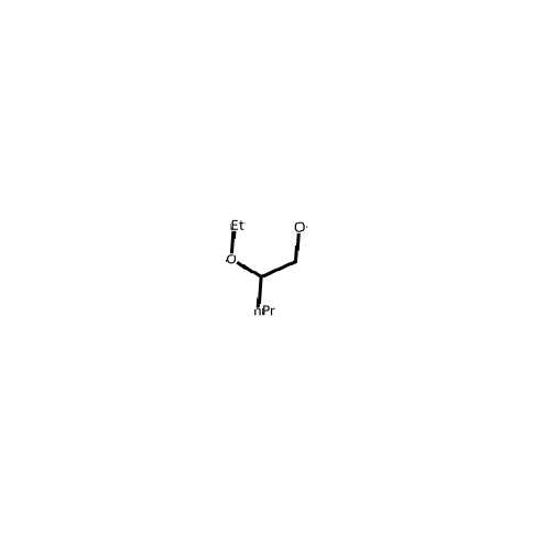 CCCC(C[O])OCC